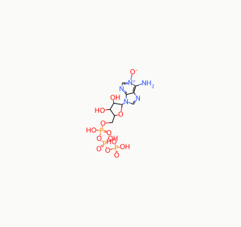 Nc1c2ncn(C3OC(COP(=O)(O)OP(=O)(O)OP(=O)(O)O)C(O)C3O)c2nc[n+]1[O-]